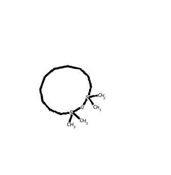 C[Si]1(C)CCCCCCCCCC[Si](C)(C)O1